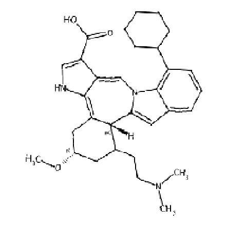 CO[C@@H]1CC2=c3[nH]cc(C(=O)O)c3=Cn3c(cc4cccc(C5CCCCC5)c43)[C@@H]2C(CCN(C)C)C1